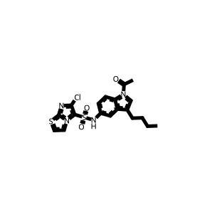 CCCCc1cn(C(C)=O)c2ccc(NS(=O)(=O)c3c(Cl)nc4sccn34)cc12